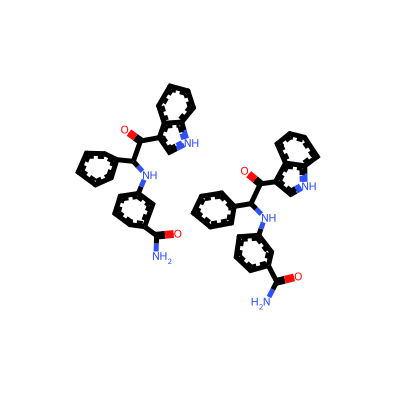 NC(=O)c1cccc(NC(C(=O)c2c[nH]c3ccccc23)c2ccccc2)c1.NC(=O)c1cccc(NC(C(=O)c2c[nH]c3ccccc23)c2ccccc2)c1